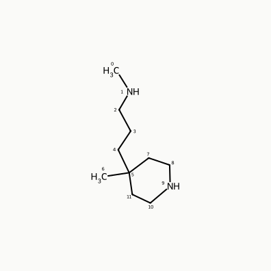 CNCCCC1(C)CCNCC1